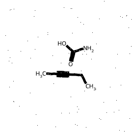 CC#CCC.NC(=O)O